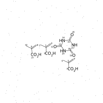 C=C(C)C(=O)O.C=C(C)C(=O)O.C=C(C)C(=O)O.O=c1[nH]c(=O)[nH]c(=O)[nH]1